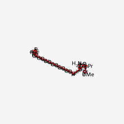 CCCN(CCc1ccc(OC)cc1)C(=O)C1=Cc2sc(CCCCCN(C)CCOCCOCCOCCOCCOCCOCCOCCOCCOCCOCCC(=O)Oc3c(F)c(F)cc(F)c3F)cc2N=C(N)C1